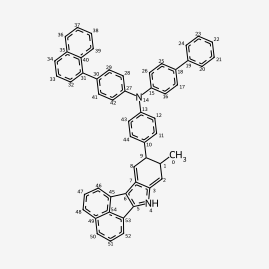 CC1C=c2[nH]c3c(c2=CC1c1ccc(N(c2ccc(-c4ccccc4)cc2)c2ccc(-c4cccc5ccccc45)cc2)cc1)-c1cccc2cccc-3c12